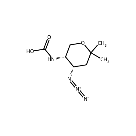 CC1(C)C[C@H](N=[N+]=[N-])[C@H](NC(=O)O)CO1